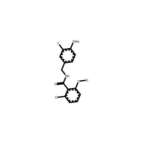 CCOc1cccc(Cl)c1C(=O)NCc1ccc(OC)c(F)c1